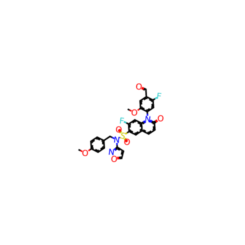 COc1ccc(CN(c2ccon2)S(=O)(=O)c2cc3ccc(=O)n(-c4cc(F)c(C=O)cc4OC)c3cc2F)cc1